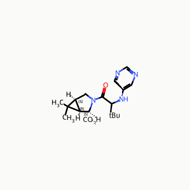 CC(C)(C)C(Nc1cncnc1)C(=O)N1C[C@H]2[C@@H]([C@H]1C(=O)O)C2(C)C